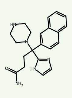 NC(=O)CCC(c1ccc2ccccc2c1)(c1ncc[nH]1)N1CCNCC1